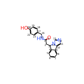 O=C(CC1c2ccccc2-c2cncn21)NCc1ccc(O)cc1